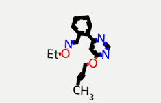 CC#CCOc1cc(-c2ccccc2C=NOCC)ncn1